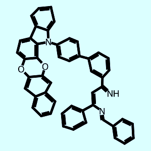 N=C(/C=C(\N=C\c1ccccc1)c1ccccc1)c1cccc(-c2ccc(-n3c4ccccc4c4ccc5c(c43)Oc3cc4ccccc4cc3O5)cc2)c1